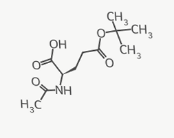 CC(=O)N[C@H](CCC(=O)OC(C)(C)C)C(=O)O